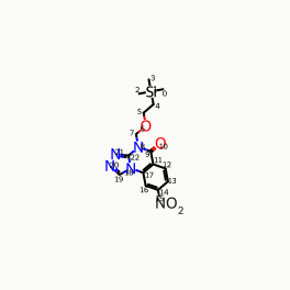 C[Si](C)(C)CCOCn1c(=O)c2ccc([N+](=O)[O-])cc2n2cnnc12